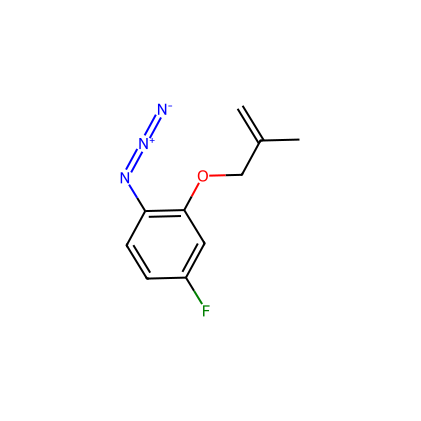 C=C(C)COc1cc(F)ccc1N=[N+]=[N-]